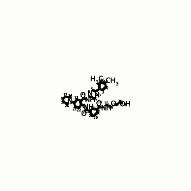 Cc1ccc(-c2cnc(NC(=O)c3cc(N4CCCCC4)ccc3NC(=O)c3cccc(C(=O)NCCOCCO)c3)cn2)cc1C